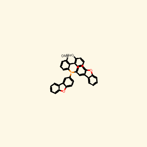 COc1ccc[c]c1-c1c(OC)cccc1P(c1ccc2oc3ccccc3c2c1)c1ccc2oc3ccccc3c2c1